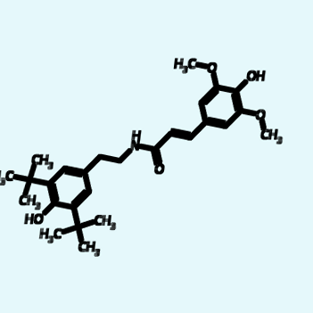 COc1cc(C=CC(=O)NCCc2cc(C(C)(C)C)c(O)c(C(C)(C)C)c2)cc(OC)c1O